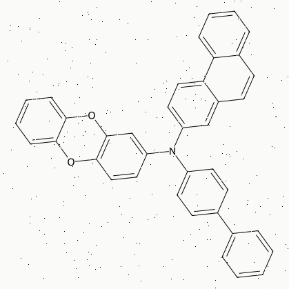 c1ccc(-c2ccc(N(c3ccc4c(c3)Oc3ccccc3O4)c3ccc4c(ccc5ccccc54)c3)cc2)cc1